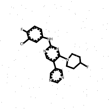 Fc1ccc(Nc2ncc(-c3cncnc3)c(N3CCC(F)CC3)n2)cc1Cl